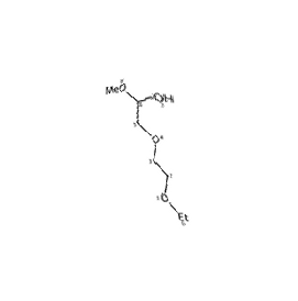 CCOCCOCC(O)OC